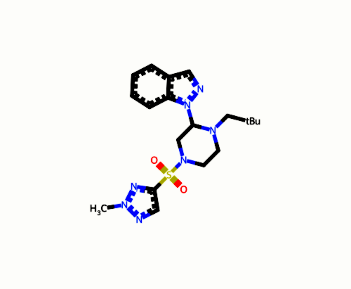 Cn1ncc(S(=O)(=O)N2CCN(CC(C)(C)C)C(n3ncc4ccccc43)C2)n1